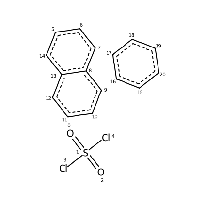 O=S(=O)(Cl)Cl.c1ccc2ccccc2c1.c1ccccc1